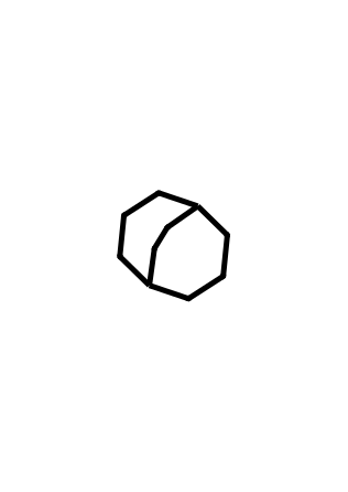 C1CC2CCCC(C1)CC2